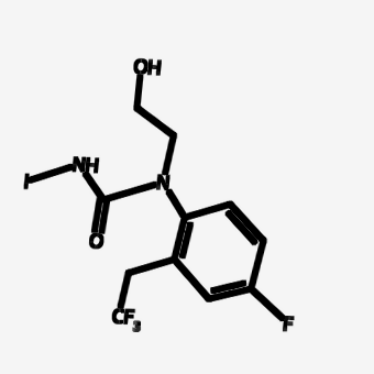 O=C(NI)N(CCO)c1ccc(F)cc1CC(F)(F)F